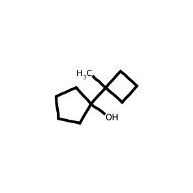 CC1(C2(O)CCCC2)CCC1